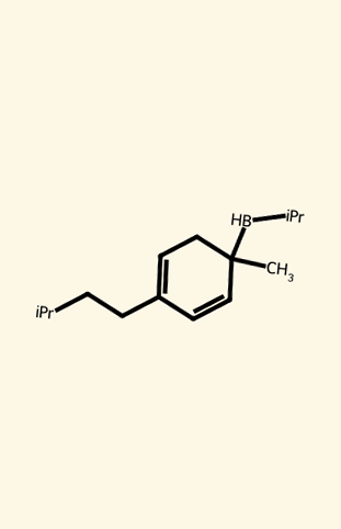 CC(C)BC1(C)C=CC(CCC(C)C)=CC1